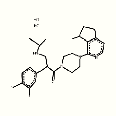 CC(C)NCC(C(=O)N1CCN(c2ncnc3c2C(C)CC3)CC1)c1ccc(F)c(F)c1.Cl.Cl